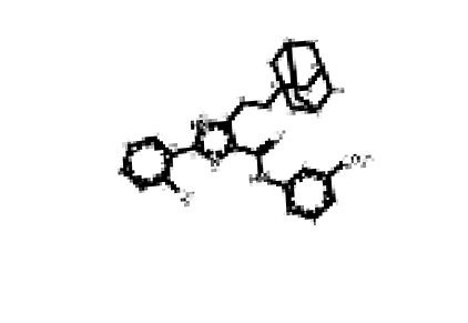 O=C(O)c1cccc(NC(=O)c2nc(-c3ccccc3O)[nH]c2CCC23CC4CC(CC(C4)C2)C3)c1